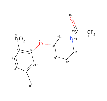 Cc1ccc([N+](=O)[O-])c(O[C@H]2CCCN(C(=O)C(F)(F)F)C2)c1